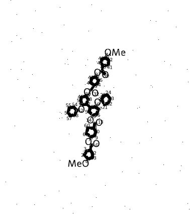 COc1ccc(C(=O)Oc2ccc(C(=O)Oc3ccc(Oc4ccccc4)c(-c4cc(OC(=O)c5ccc(OC(=O)c6ccc(OC)cc6)cc5)ccc4Oc4ccccc4)c3)cc2)cc1